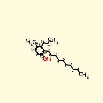 CCCCCCCCCCc1c(O)ccc(C)c1CCC